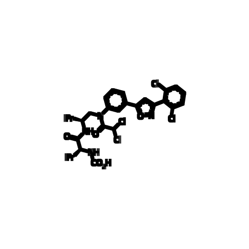 CC(C)[C@H](NC(=O)O)C(=O)N[C@H](CN(C(=O)C(Cl)Cl)c1cccc(-c2cc(-c3c(Cl)cccc3Cl)no2)c1)C(C)C